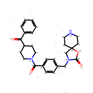 O=C(c1ccccc1)C1CCN(C(=O)c2ccc(CN3CC4(CCNCC4)OC3=O)cc2)CC1